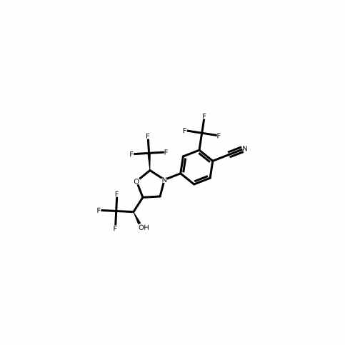 N#Cc1ccc(N2CC([C@@H](O)C(F)(F)F)O[C@H]2C(F)(F)F)cc1C(F)(F)F